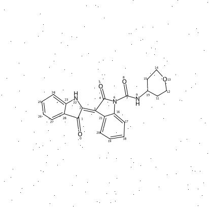 O=C1/C(=C2/C(=O)N(C(=O)NC3CCOCC3)c3ccccc32)Nc2ccccc21